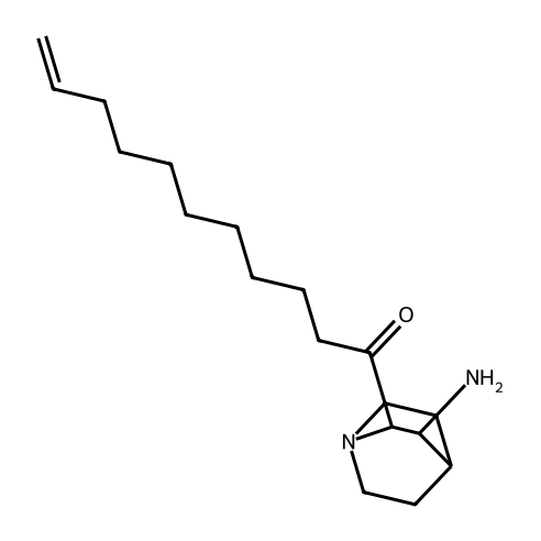 C=CCCCCCCCCC(=O)C1C(N)C2CCN1CC2